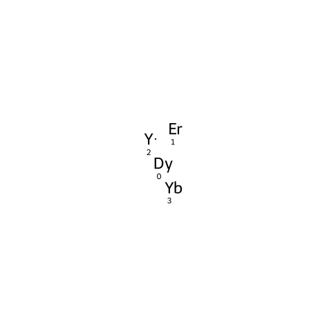 [Dy].[Er].[Y].[Yb]